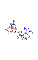 CCC[C@H](NC(=O)[C@H](C)N)C(=O)NCC1CNCC12OCCO2